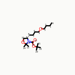 CCCCOCCCC[C@H]1COC(C)(C)N1C(=O)OC(C)(C)C